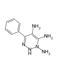 NC1=C(N)N(N)NN=C1c1ccccc1